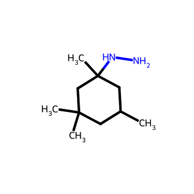 CC1CC(C)(C)CC(C)(NN)C1